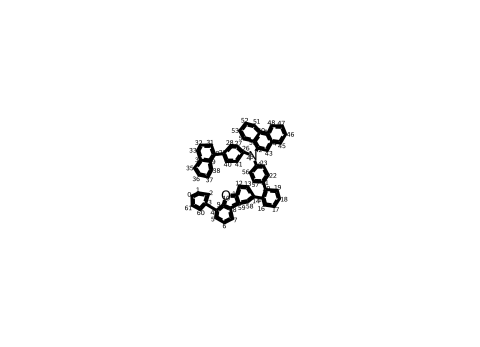 c1ccc(-c2cccc3c2oc2ccc(-c4ccccc4-c4ccc(N(c5ccc(-c6cccc7ccccc67)cc5)c5cc6ccccc6c6ccccc56)cc4)cc23)cc1